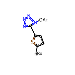 CCCCc1ccc(-c2nnnn2OC(C)=O)s1